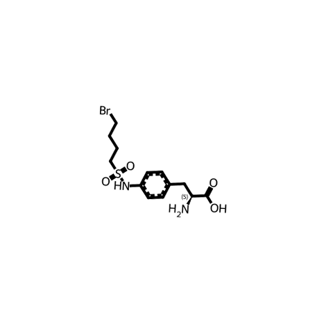 N[C@@H](Cc1ccc(NS(=O)(=O)CCCCBr)cc1)C(=O)O